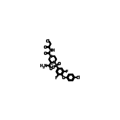 NC(=O)[C@H]1CN(C(=O)NC(=O)CCl)CCN1S(=O)(=O)c1cc(F)c(Oc2ccc(Cl)cc2)c(F)c1